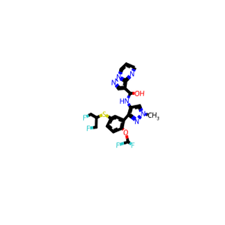 Cn1cc(NC(O)c2cnn3cccnc23)c(-c2cc(SC(CF)CF)ccc2OC(F)F)n1